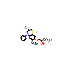 CCCCC1CN(c2ccccc2)c2cc(SC)c(OCC(O)C(=O)O)cc2[S+]([O-])C1